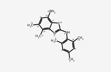 Cc1cc(C)c(Nc2nc3c(C)c(C)cc(N)c3s2)c(C)c1